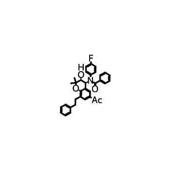 CC(=O)c1cc(CCc2ccccc2)c2c(c1)[C@H](N(C(=O)c1ccccc1)c1ccc(F)cc1)[C@@H](O)C(C)(C)O2